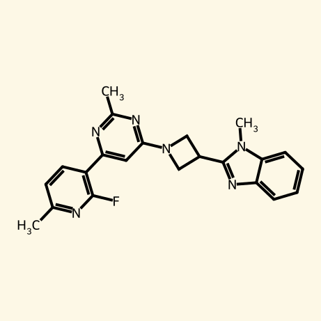 Cc1ccc(-c2cc(N3CC(c4nc5ccccc5n4C)C3)nc(C)n2)c(F)n1